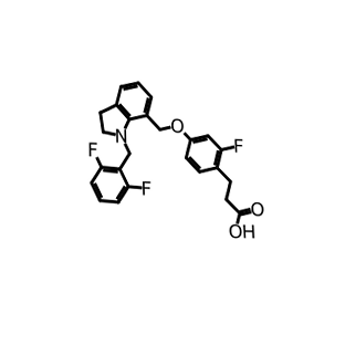 O=C(O)CCc1ccc(OCc2cccc3c2N(Cc2c(F)cccc2F)CC3)cc1F